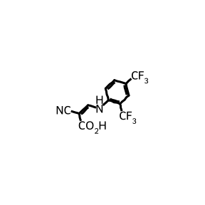 N#C/C(=C/Nc1ccc(C(F)(F)F)cc1C(F)(F)F)C(=O)O